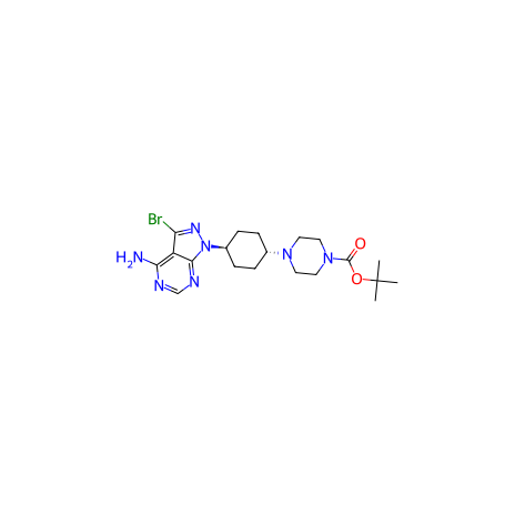 CC(C)(C)OC(=O)N1CCN([C@H]2CC[C@H](n3nc(Br)c4c(N)ncnc43)CC2)CC1